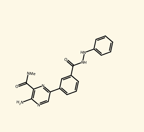 CNC(=O)c1nc(-c2cccc(C(=O)NNc3ccccc3)c2)cnc1N